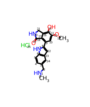 CNCc1ccc2[nH]c(-c3cc(OC)c(O)c4c3C(=O)NC4)cc2c1.Cl